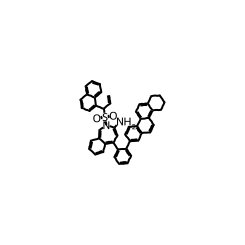 C=CC(c1cccc2ccccc12)S(=O)(=O)N1C=c2ccccc2=C(c2ccccc2-c2ccc3c(ccc4c5c(ccc43)CCCC5)c2)C=C1N